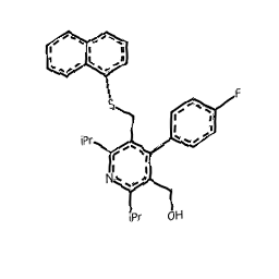 CC(C)c1nc(C(C)C)c(CSc2cccc3ccccc23)c(-c2ccc(F)cc2)c1CO